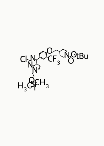 CC(C)(C)OC(=O)N1CCC(CCOc2ccc(-c3nc(Cl)nc4c3ccn4CCO[Si](C)(C)I)cc2C(F)(F)F)CC1